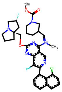 C/[N+](=C/C1CCCN(C(=O)OC(C)(C)C)C1)c1nc(OC[C@@]23CCCN2C[C@H](F)C3)nc2c(F)c(-c3cccc4cccc(Cl)c34)ncc12